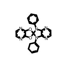 C1=CCCC(N2c3nccnc3N(c3ccccc3)C23Oc2nccnc2O3)=C1